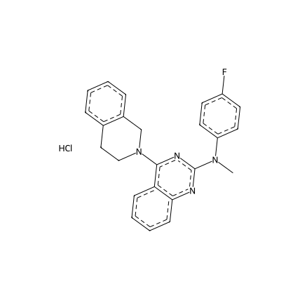 CN(c1ccc(F)cc1)c1nc(N2CCc3ccccc3C2)c2ccccc2n1.Cl